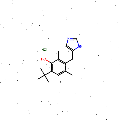 Cc1cc(C(C)(C)C)c(O)c(C)c1Cc1cnc[nH]1.Cl